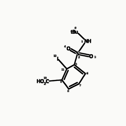 CC(C)(C)NS(=O)(=O)c1cccc(C(=O)O)c1I